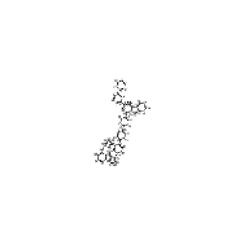 c1ccc(-c2cccc(-c3nc(-c4ccc(-c5ccc(-c6ccc7c(c6)C6(c8ccccc8Oc8ccccc86)c6ccccc6-7)cc5)cc4)c4sc5ccccc5c4n3)c2)cc1